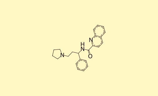 O=C(NC(CCN1CCCC1)c1ccccc1)c1ccc2ccccc2n1